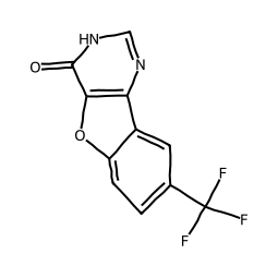 O=c1[nH]cnc2c1oc1ccc(C(F)(F)F)cc12